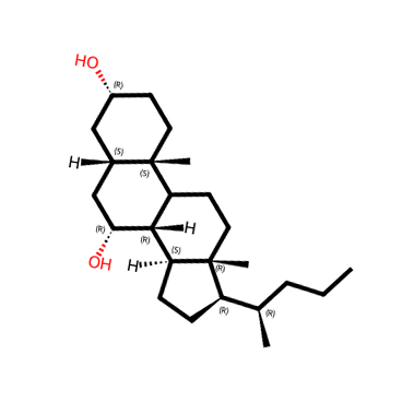 CCC[C@@H](C)[C@H]1CC[C@H]2[C@H]3C(CC[C@]12C)[C@@]1(C)CC[C@@H](O)C[C@H]1C[C@H]3O